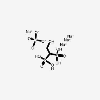 O=P(O)(O)C(CO)P(=O)(O)O.[Na+].[Na+].[Na+].[Na+].[O-][Si]([O-])([O-])[O-]